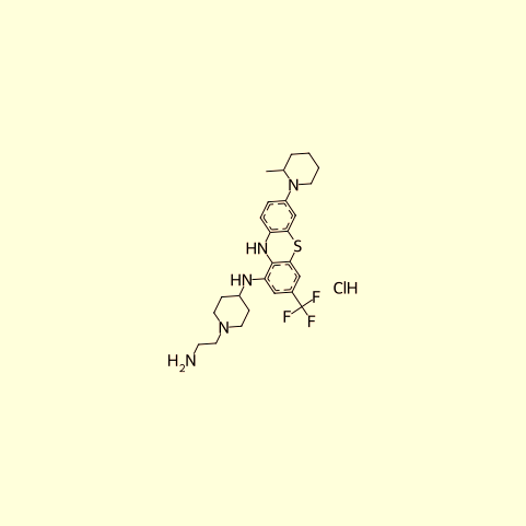 CC1CCCCN1c1ccc2c(c1)Sc1cc(C(F)(F)F)cc(NC3CCN(CCN)CC3)c1N2.Cl